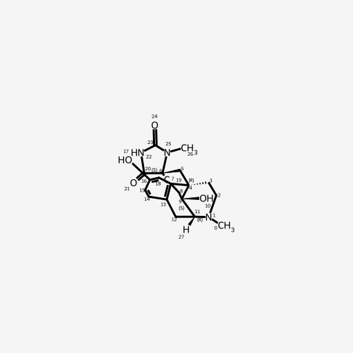 CN1CC[C@]23C[C@@]4(CC[C@@]2(O)[C@H]1Cc1ccc(O)cc13)C(=O)NC(=O)N4C